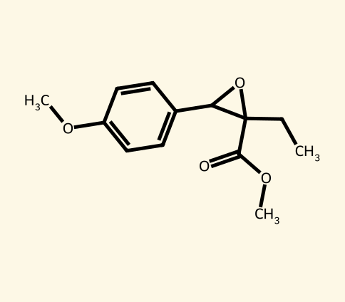 CCC1(C(=O)OC)OC1c1ccc(OC)cc1